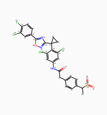 CC(c1ccc(CC(=O)Nc2cc(Cl)c(C3(c4noc(-c5ccc(F)c(Cl)c5)n4)CC3)c(Cl)c2)cc1)[SH](=O)=O